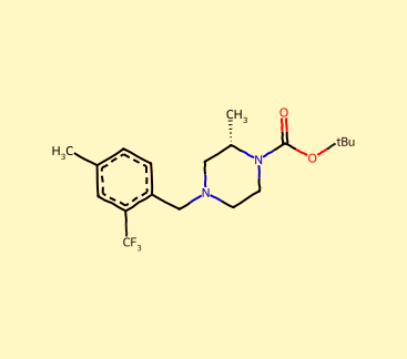 Cc1ccc(CN2CCN(C(=O)OC(C)(C)C)[C@@H](C)C2)c(C(F)(F)F)c1